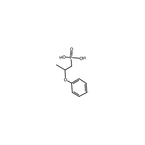 CC(CP(=O)(O)O)Oc1cc[c]cc1